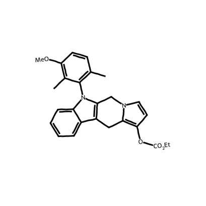 CCOC(=O)Oc1ccn2c1Cc1c(n(-c3c(C)ccc(OC)c3C)c3ccccc13)C2